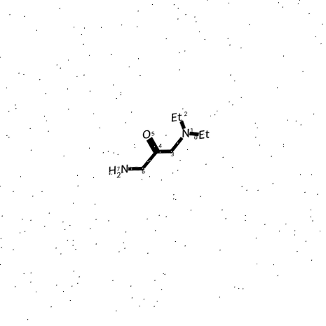 CCN(CC)CC(=O)CN